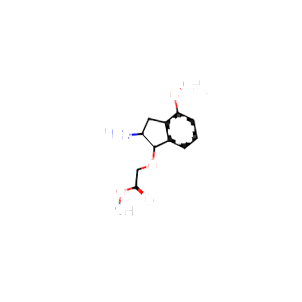 COC(=O)COC1c2cccc(OC)c2CC1N